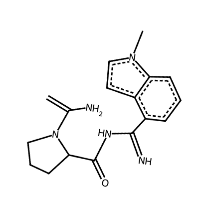 C=C(N)N1CCCC1C(=O)NC(=N)c1cccc2c1ccn2C